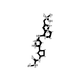 CCS(=N)(=O)Cc1cc2c(Nc3cc(C4CCC(OC(=O)NC(C)C)C4)[nH]n3)nccn2n1